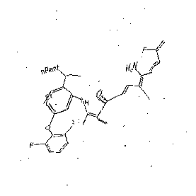 C=C(F)\C=C/C(N)=C(C)/C=C/C(=O)/C(C)=C(/C)NC(=C/C(=C\CC)Oc1c(F)cccc1F)/C(=C\C)C(C)CCCCC